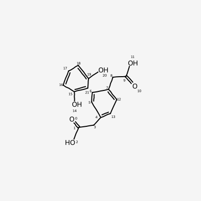 O=C(O)Cc1ccc(CC(=O)O)cc1.Oc1cccc(O)c1